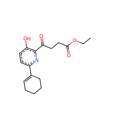 CCOC(=O)CCC(=O)c1nc(C2=CCCCC2)ccc1O